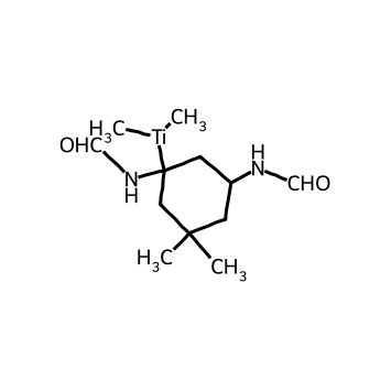 [CH3][Ti]([CH3])[C]1(NC=O)CC(NC=O)CC(C)(C)C1